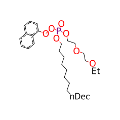 CCCCCCCCCCCCCCCCCCOP(=O)(OCCOCCOCC)OOc1cccc2ccccc12